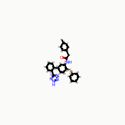 Cc1ccc(CC(=O)Nc2cc(-c3ccccc3-c3nn[nH]n3)ccc2Sc2ccccc2)cc1